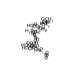 CC[C@H](O)[C@@H](C)[C@H]1O[C@@H]1C[C@@](C)(O)/C=C/C=C(\C)[C@H]1OC(=O)C[C@H](O)CC[C@@](C)(OC(C)=O)[C@@H](OC(=O)N2CCN(C(=O)OCc3ccc(O[C@@H]4O[C@H](C(=O)O)[C@@H](O)[C@H](O)[C@H]4O)c(NC(=O)CCNC(=O)CCCCCN4C(=O)C=CC4=O)c3)CC2)/C=C/[C@@H]1C